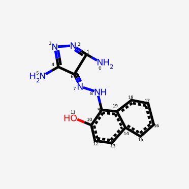 NC1=NN=C(N)C1=NNc1c(O)ccc2ccccc12